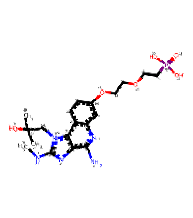 CNc1nc2c(N)nc3cc(OCCOCCP(=O)(O)O)ccc3c2n1CC(C)(C)O